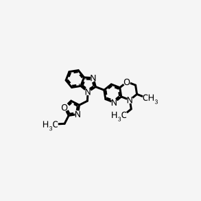 CCc1nc(Cn2c(-c3cnc4c(c3)OCC(C)N4CC)nc3ccccc32)co1